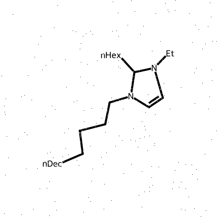 CCCCCCCCCCCCCCN1C=CN(CC)C1CCCCCC